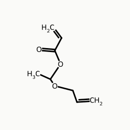 C=CCOC(C)OC(=O)C=C